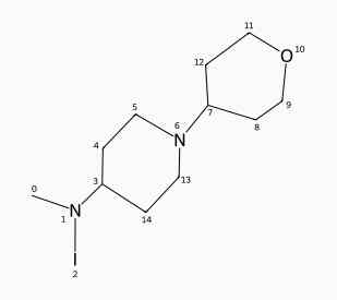 CN(I)C1CCN(C2CCOCC2)CC1